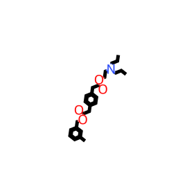 CCCN(CCC)CCOC(=O)Cc1ccc(CC(=O)OCc2cccc(C)c2)cc1